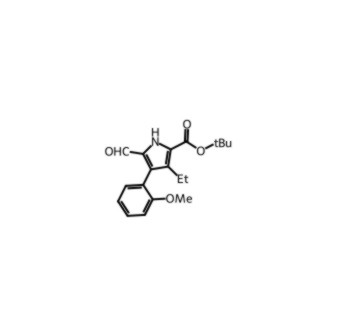 CCc1c(C(=O)OC(C)(C)C)[nH]c(C=O)c1-c1ccccc1OC